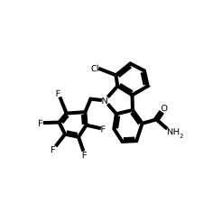 NC(=O)c1cccc2c1c1[c]ccc(Cl)c1n2Cc1c(F)c(F)c(F)c(F)c1F